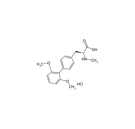 CN[C@@H](Cc1ccc(-c2c(OC)cccc2OC)cc1)C(=O)O.Cl